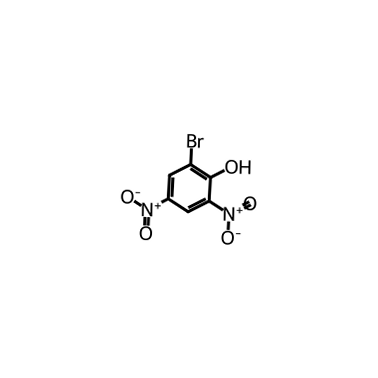 O=[N+]([O-])c1cc(Br)c(O)c([N+](=O)[O-])c1